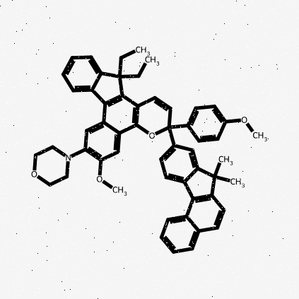 CCC1(CC)c2ccccc2-c2c1c1c(c3cc(OC)c(N4CCOCC4)cc23)OC(c2ccc(OC)cc2)(c2ccc3c(c2)C(C)(C)c2ccc4ccccc4c2-3)C=C1